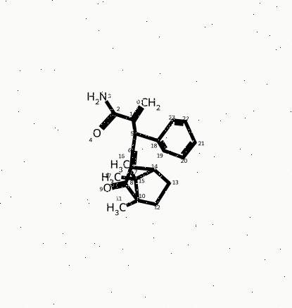 C=C(C(N)=O)C(C=C1C(=O)C2(C)CCC1C2(C)C)c1ccccc1